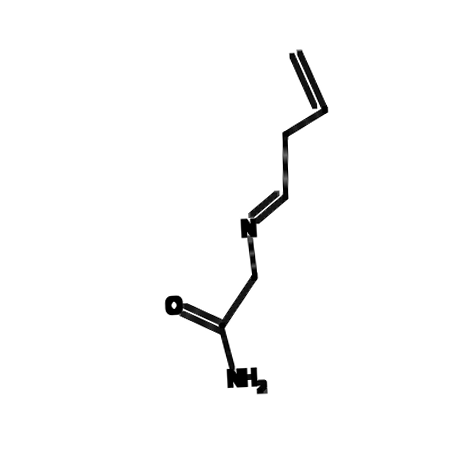 C=CC/C=N/CC(N)=O